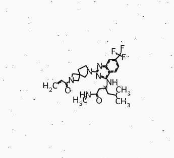 C=CC(=O)N1CC2(CCN(c3nc(N[C@H](CC(=O)NC)CC(C)C)c4ccc(C(F)(F)F)cc4n3)C2)C1